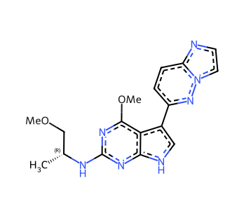 COC[C@@H](C)Nc1nc(OC)c2c(-c3ccc4nccn4n3)c[nH]c2n1